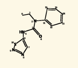 CCN(C(=O)Nc1cnns1)c1ccccc1